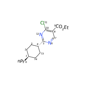 CCC[C@H]1CC[C@H](c2ncc(C(=O)OCC)c(Cl)n2)CC1